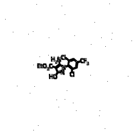 CCOC(=O)c1c(O)nn(-c2c(Cl)cc(C(F)(F)F)cc2Cl)c1N